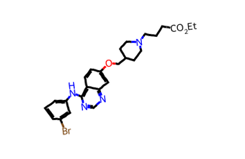 CCOC(=O)CCCN1CCC(COc2ccc3c(Nc4cccc(Br)c4)ncnc3c2)CC1